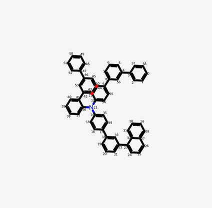 c1ccc(-c2cccc(-c3ccc(N(c4ccc(-c5cccc(-c6cccc7ccccc67)c5)cc4)c4ccccc4-c4cccc(-c5ccccc5)c4)cc3)c2)cc1